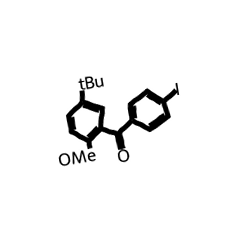 COc1ccc(C(C)(C)C)cc1C(=O)c1ccc(I)cc1